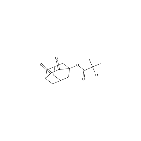 CCC(C)(C)C(=O)OC12CC3CC(CC(C3)C(=O)C1=O)C2